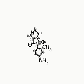 Cc1cc(N)ccc1N1C(=O)c2ccncc2C1=O